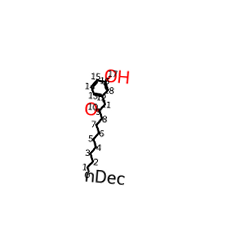 CCCCCCCCCCCCCCCCCCC(=O)Cc1cccc(O)c1